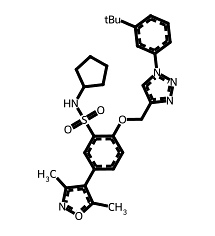 Cc1noc(C)c1-c1ccc(OCc2cn(-c3cccc(C(C)(C)C)c3)nn2)c(S(=O)(=O)NC2CCCC2)c1